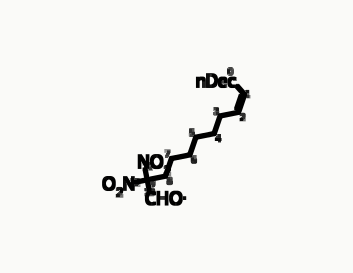 CCCCCCCCCC/C=C\CCCCCCC([C]=O)([N+](=O)[O-])[N+](=O)[O-]